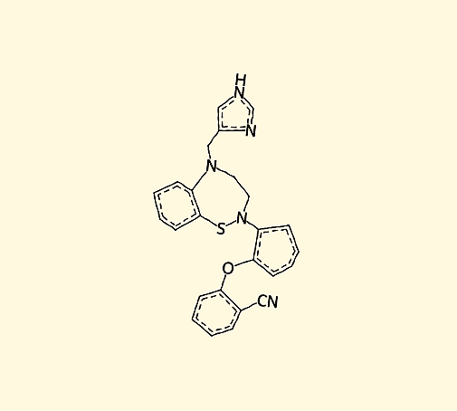 N#Cc1ccccc1Oc1ccccc1N1CCN(Cc2c[nH]cn2)c2ccccc2S1